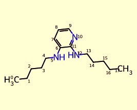 CCCCCNc1cccnc1NCCCCC